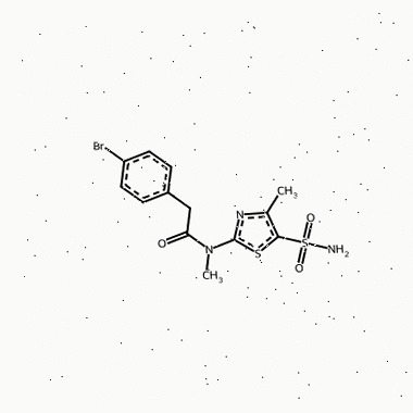 Cc1nc(N(C)C(=O)Cc2ccc(Br)cc2)sc1S(N)(=O)=O